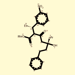 CCC[C@@](O)(CCc1ccccc1)CC(=O)C(C(=O)OC)[C@H](CC)c1cccc([N+](=O)[O-])c1